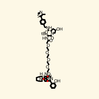 Cc1ncsc1-c1ccc(CNC(=O)[C@@H]2C[C@@H](O)CN2C(=O)C(NC(=O)COCCOCCOCCOCCOc2cc(N3C4CCC3CN(c3cc(-c5ccccc5O)nnc3N)C4)ccn2)C(C)(C)C)cc1